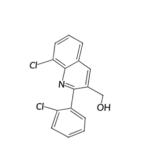 OCc1cc2cccc(Cl)c2nc1-c1ccccc1Cl